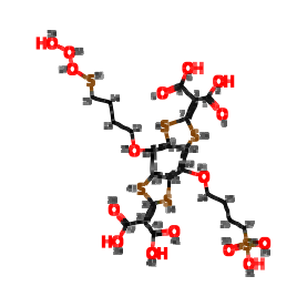 O=C(O)C(C(=O)O)=C1Sc2c(OCCCCSOOO)c3c(c(OCCCCS(=O)(=O)O)c2S1)SC(=C(C(=O)O)C(=O)O)S3